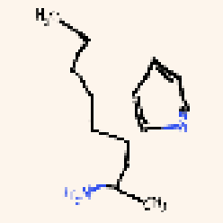 CCCCCCC(C)N.c1ccncc1